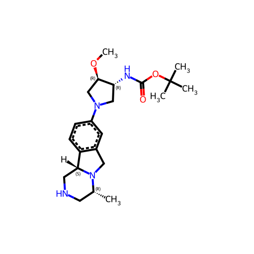 CO[C@@H]1CN(c2ccc3c(c2)CN2[C@H](C)CNC[C@H]32)C[C@H]1NC(=O)OC(C)(C)C